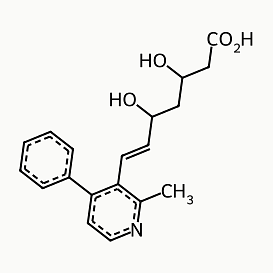 Cc1nccc(-c2ccccc2)c1C=CC(O)CC(O)CC(=O)O